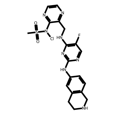 CS(=O)(=O)N(Cl)c1nccnc1CNc1nc(Nc2ccc3c(c2)CCNC3)ncc1F